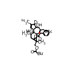 CCC(C)C(=O)OCC1(C)C2C3C=C(COC(C)=O)CC4(O)C(=O)C(C)=CC4C3(O)C(C)CC21OC(=O)Cc1ccccc1